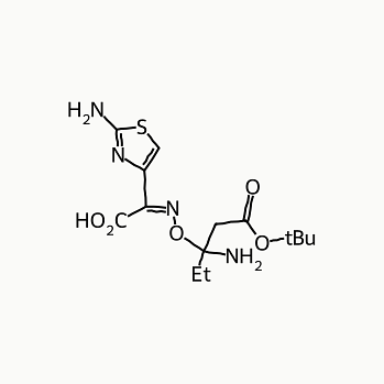 CCC(N)(CC(=O)OC(C)(C)C)ON=C(C(=O)O)c1csc(N)n1